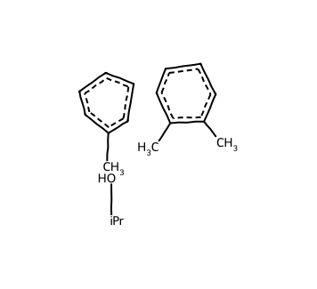 CC(C)O.Cc1ccccc1.Cc1ccccc1C